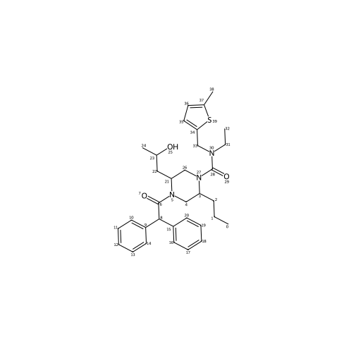 CCCC1CN(C(=O)C(c2ccccc2)c2ccccc2)C(CC(C)O)CN1C(=O)N(CC)Cc1ccc(C)s1